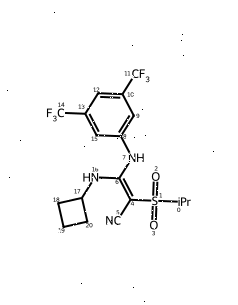 CC(C)S(=O)(=O)C(C#N)=C(Nc1cc(C(F)(F)F)cc(C(F)(F)F)c1)NC1CCC1